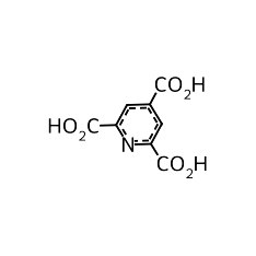 O=C(O)c1cc(C(=O)O)nc(C(=O)O)c1